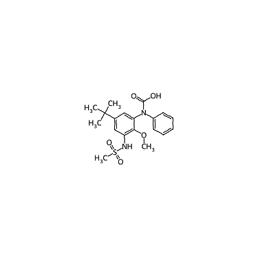 COc1c(NS(C)(=O)=O)cc(C(C)(C)C)cc1N(C(=O)O)c1ccccc1